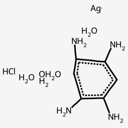 Cl.Nc1cc(N)c(N)cc1N.O.O.O.O.[Ag]